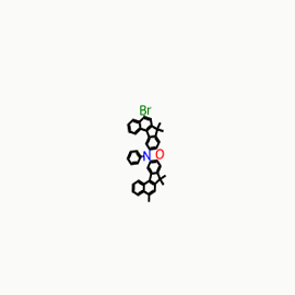 Cc1cc2c(c3ccccc13)-c1cc3c(cc1C2(C)C)Oc1cc2c(cc1N3c1ccccc1)-c1c(cc(Br)c3ccccc13)C2(C)C